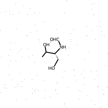 CC(O)[C@@H](CO)NC=O